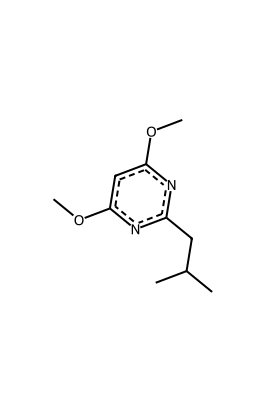 COc1cc(OC)nc(CC(C)C)n1